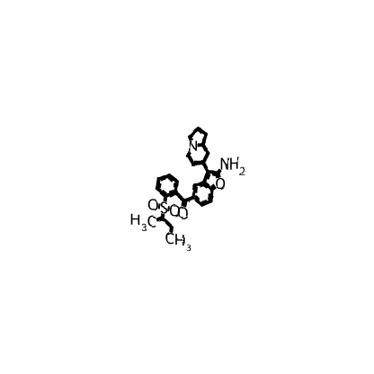 CCC(C)S(=O)(=O)c1ccccc1C(=O)c1ccc2oc(N)c(C3=CCN4CCCC4C3)c2c1